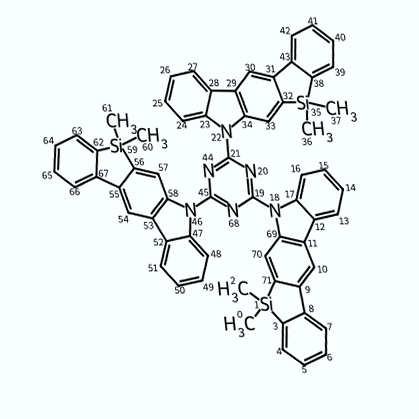 C[Si]1(C)c2ccccc2-c2cc3c4ccccc4n(-c4nc(-n5c6ccccc6c6cc7c(cc65)[Si](C)(C)c5ccccc5-7)nc(-n5c6ccccc6c6cc7c(cc65)[Si](C)(C)c5ccccc5-7)n4)c3cc21